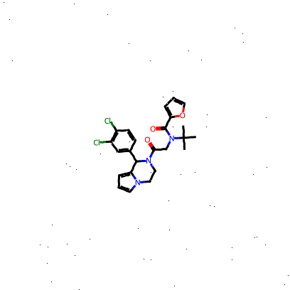 CC(C)(C)N(CC(=O)N1CCn2cccc2C1c1ccc(Cl)c(Cl)c1)C(=O)c1ccco1